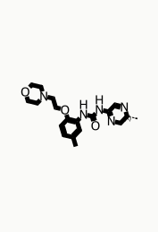 Cc1ccc(OCCN2CCOCC2)c(NC(=O)NC2=NC[C@@H](C)N=C2)c1